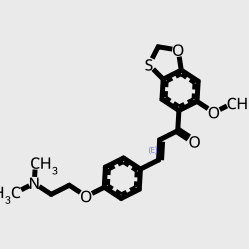 COc1cc2c(cc1C(=O)/C=C/c1ccc(OCCN(C)C)cc1)SCO2